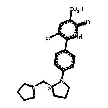 CCc1cc(C(=O)O)c(=O)[nH]c1-c1ccc(N2CCC[C@H]2CN2CCCC2)cc1